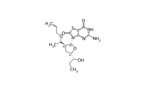 C=CCOC(C)[C@@H]1C[C@@H](C(O)CC)O[C@H]1n1c(=O)sc2c(=O)[nH]c(N)nc21